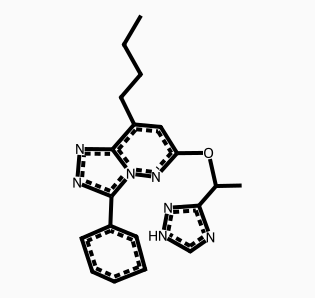 CCCCc1cc(OC(C)c2nc[nH]n2)nn2c(-c3ccccc3)nnc12